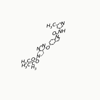 Cc1cncc(NC(=O)n2ccc3cc(Oc4ncnc5c4CCN(C(=O)OC(C)(C)C)C5)ccc32)c1